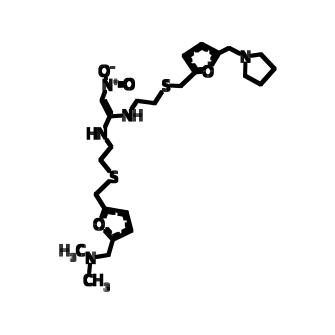 CN(C)Cc1ccc(CSCCNC(=C[N+](=O)[O-])NCCSCc2ccc(CN3CCCC3)o2)o1